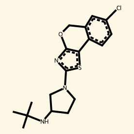 CC(C)(C)NC1CCN(c2nc3c(s2)-c2ccc(Cl)cc2CO3)C1